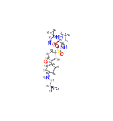 CC(C)C[C@H](NS(=O)(=O)c1ccc2oc3cc(N(C)CCN(C)C)ccc3c2c1)C(=O)NC1(C#N)CC1